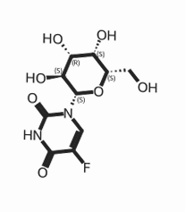 O=c1[nH]c(=O)n([C@H]2O[C@@H](CO)[C@@H](O)[C@@H](O)[C@@H]2O)cc1F